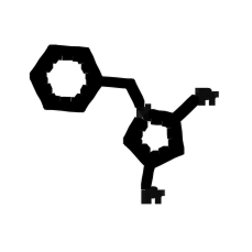 CC(C)c1cc(C(C)C)n(Cc2ccccc2)c1